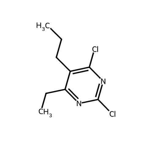 CCCc1c(Cl)nc(Cl)nc1CC